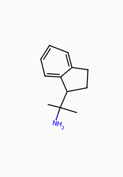 CC(C)(N)C1CCc2ccccc21